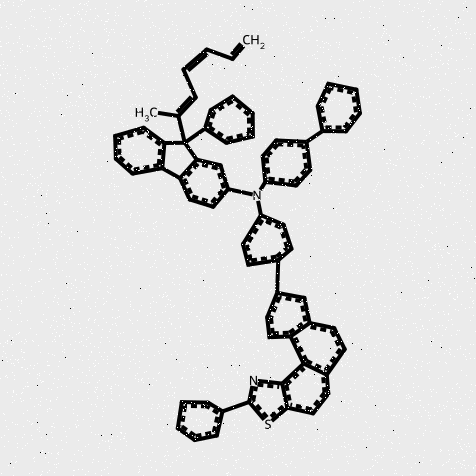 C=C/C=C\C=C(/C)C1(c2ccccc2)c2ccccc2-c2ccc(N(c3ccc(-c4ccccc4)cc3)c3ccc(-c4ccc5c(ccc6ccc7sc(-c8ccccc8)nc7c65)c4)cc3)cc21